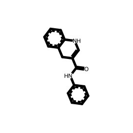 O=C(Nc1ccccc1)C1=CNc2ccccc2C1